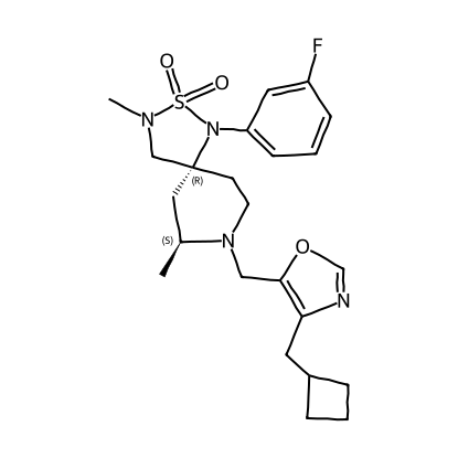 C[C@H]1C[C@]2(CCN1Cc1ocnc1CC1CCC1)CN(C)S(=O)(=O)N2c1cccc(F)c1